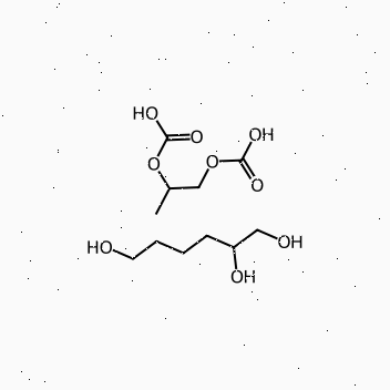 CC(COC(=O)O)OC(=O)O.OCCCCC(O)CO